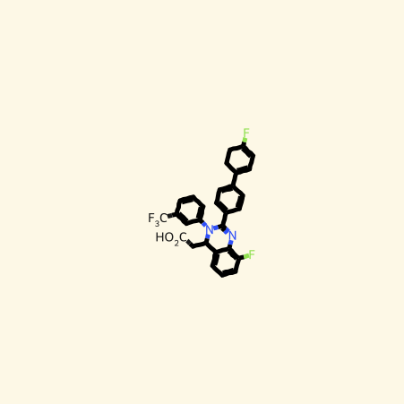 O=C(O)CC1c2cccc(F)c2N=C(c2ccc(C3=CC=C(F)CC3)cc2)N1c1cccc(C(F)(F)F)c1